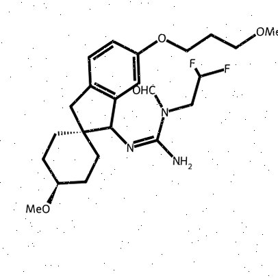 COCCCOc1ccc2c(c1)C(/N=C(/N)N(C=O)CC(F)F)[C@]1(CC[C@H](OC)CC1)C2